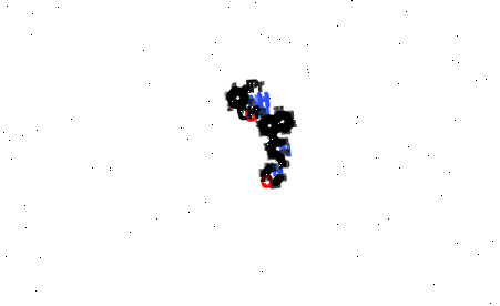 Cc1cccc(C(C)C)c1NC(=O)Nc1ccc(-c2ccc(CN3CCOCC3)nc2)c2ccccc12